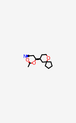 CC(=O)O/C(CC#N)=C1/CCOC2(CCCC2)C1